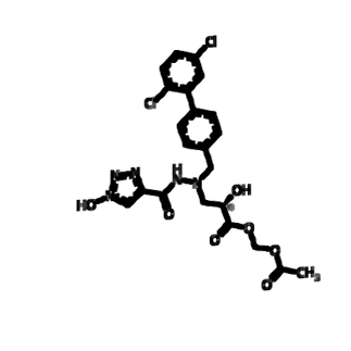 CC(=O)OCOC(=O)[C@H](O)CN(Cc1ccc(-c2cc(Cl)ccc2Cl)cc1)NC(=O)c1cn(O)nn1